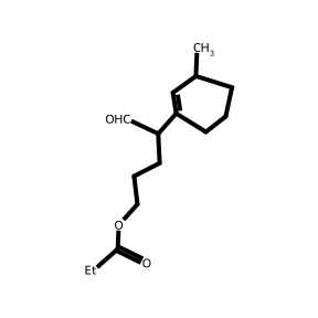 CCC(=O)OCCCC(C=O)C1=CC(C)CCC1